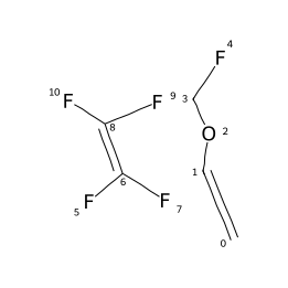 C=COCF.FC(F)=C(F)F